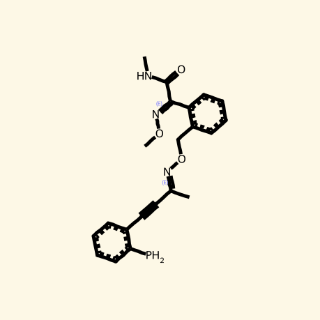 CNC(=O)/C(=N/OC)c1ccccc1CO/N=C(\C)C#Cc1ccccc1P